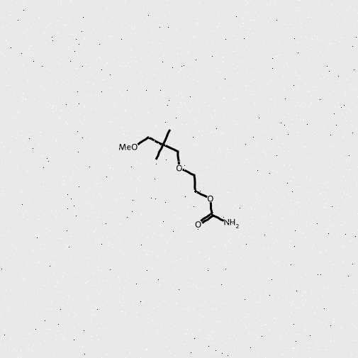 COCC(C)(C)COCCOC(N)=O